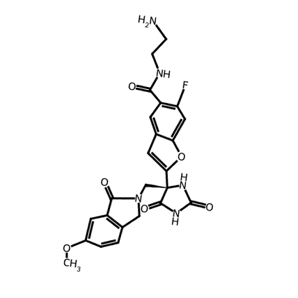 COc1ccc2c(c1)C(=O)N(C[C@@]1(c3cc4cc(C(=O)NCCN)c(F)cc4o3)NC(=O)NC1=O)C2